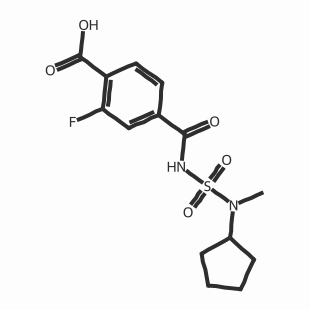 CN(C1CCCC1)S(=O)(=O)NC(=O)c1ccc(C(=O)O)c(F)c1